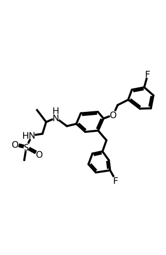 CC(CNS(C)(=O)=O)NCc1ccc(OCc2cccc(F)c2)c(Cc2cccc(F)c2)c1